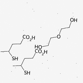 CC(S)CCC(=O)O.CC(S)CCC(=O)O.OCCOCCO